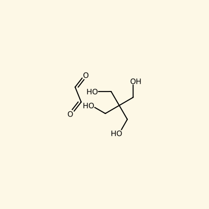 O=CC=O.OCC(CO)(CO)CO